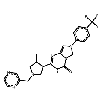 CC1CN(Cc2cnccn2)CC1C1=NC2=CN(c3ccc(C(F)(F)F)cc3)CN2C(=O)N1